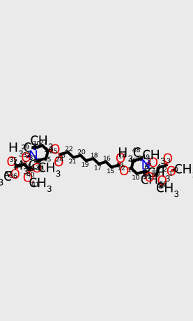 COC(=O)C(ON1C(C)(C)CC(OC(=O)CCCCCCCCC(=O)OC2CC(C)(C)N(OC(C(=O)OC)C(=O)OC)C(C)(C)C2)CC1(C)C)C(=O)OC